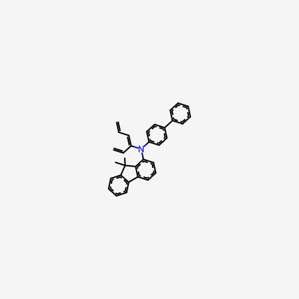 C=C/C=C(\C=C)N(c1ccc(-c2ccccc2)cc1)c1cccc2c1C(C)(C)c1ccccc1-2